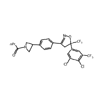 CCCC(=O)N1CC(c2ccc(C3=NOC(c4cc(Cl)c(Cl)c(C(F)(F)F)c4)(C(F)(F)F)C3)cc2)C1